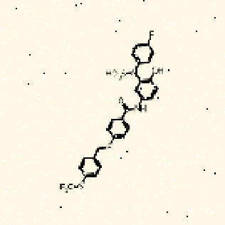 O=C(Nc1ccc(O)c(N(c2ccc(F)cc2)S(=O)(=O)O)c1)c1ccc(SCc2ccc(SC(F)(F)F)cc2)cc1